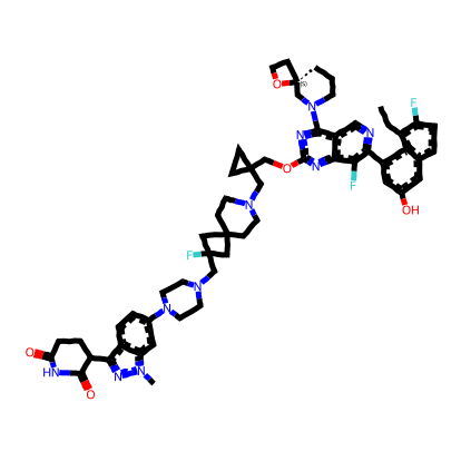 CCc1c(F)ccc2cc(O)cc(-c3ncc4c(N5CCC[C@]6(CCO6)C5)nc(OCC5(CN6CCC7(CC6)CC(F)(CN6CCN(c8ccc9c(C%10CCC(=O)NC%10=O)nn(C)c9c8)CC6)C7)CC5)nc4c3F)c12